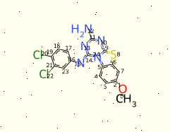 COc1ccc2c(c1)sc1nc(N)n/c(=N\c3ccc(Cl)c(Cl)c3)n12